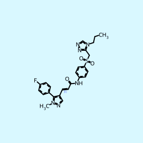 CCCn1cnnc1CS(=O)(=O)c1ccc(NC(=O)/C=C/c2cnn(C)c2-c2ccc(F)cc2)cc1